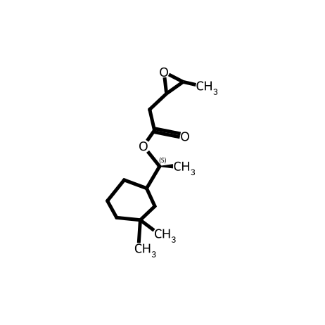 CC1OC1CC(=O)O[C@@H](C)C1CCCC(C)(C)C1